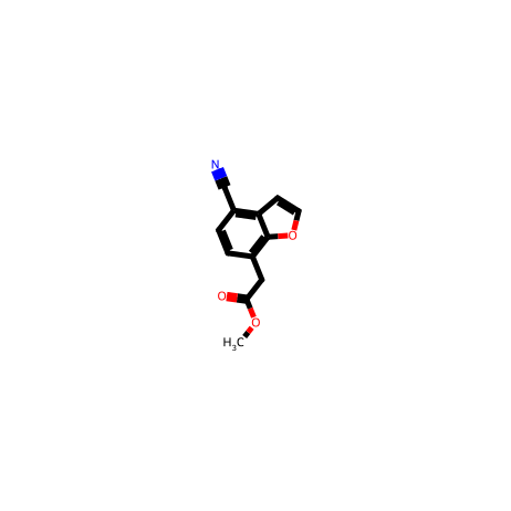 COC(=O)Cc1ccc(C#N)c2ccoc12